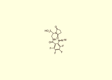 [N-]=[N+]=Nc1c(F)c(F)c(F)c(F)c1C(=O)NC[C](N1C(=O)CCC1=O)S(=O)(=O)O